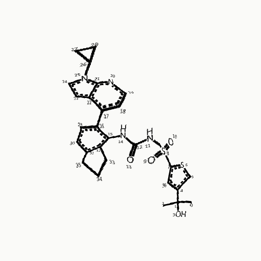 CC(C)(O)c1csc(S(=O)(=O)NC(=O)Nc2c(-c3ccnc4c3ccn4C3CC3)ccc3c2CCC3)c1